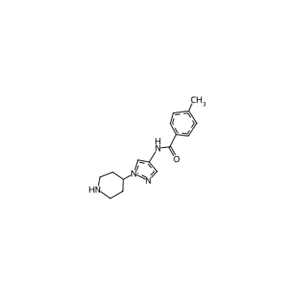 Cc1ccc(C(=O)Nc2cnn(C3CCNCC3)c2)cc1